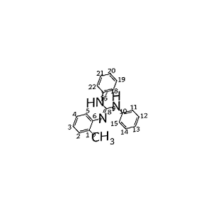 Cc1ccccc1N=C(Nc1ccccc1)Nc1ccccc1